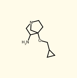 NC1CN2CCC1(OCC1CC1)C2